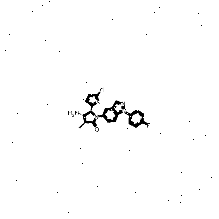 C[C@@H]1C(=O)N(c2ccc3c(cnn3-c3ccc(F)cc3)c2)[C@H](c2ccc(Cl)s2)[C@H]1N